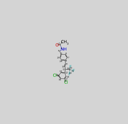 CC(=O)NCc1ccc(C=CC(c2cc(Cl)cc(Cl)c2)C(F)(F)F)cc1